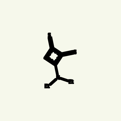 CCN(CC)c1cc(=S)c1=S